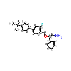 CC(C)(C)c1ccc(-c2ccc(CO[C@@H](CN)c3ccccc3)c(F)c2)cc1